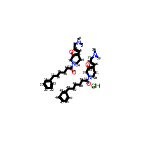 CN(C)Cc1cc2c(o1)CN(C(=O)CCCCCc1ccccc1)CC2.CN(C)Cc1cc2c(o1)CN(C(=O)CCCCCc1ccccc1)CC2.Cl